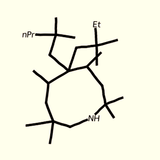 CCCC(C)(C)CC1(CC(C)(C)CC)C(C)CC(C)(C)CNC(C)(C)CC1C